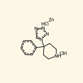 Cl.Cl.[Zn].c1ccc(C2(n3cnnn3)CCNCC2)cc1